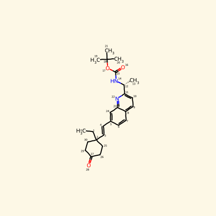 CCC1(/C=C/c2ccc3ccc([C@@H](C)NC(=O)OC(C)(C)C)nc3c2)CCC(=O)CC1